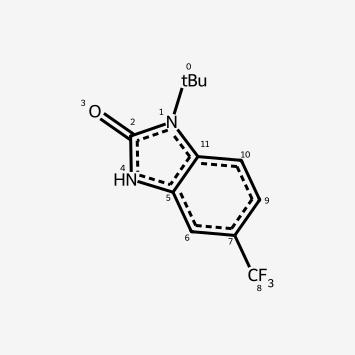 CC(C)(C)n1c(=O)[nH]c2cc(C(F)(F)F)ccc21